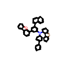 c1ccc(-c2ccc(N(c3cc(-c4cccc5ccccc45)cc(-c4cccc5c4oc4ccccc45)c3)c3cccc4sc5ccccc5c34)cc2)cc1